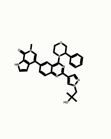 Cn1cc(-c2ccc3nc(-c4cnn(CC(C)(C)O)c4)nc(N4CCOCC4c4ccccc4)c3c2)c2cc[nH]c2c1=O